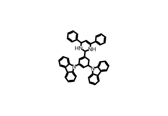 C1=C(c2ccccc2)NC(C2=CC(n3c4ccccc4c4ccccc43)=CC(n3c4ccccc4c4ccccc43)C2)NC1c1ccccc1